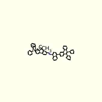 CC1(C)c2cc(/C=C/c3ccc(-c4ccc5c(-c6ccccc6)c(-c6ccccc6)c6ccccc6c5c4)c4ccccc34)ccc2-c2ccc(N(c3ccccc3)c3ccccc3)cc21